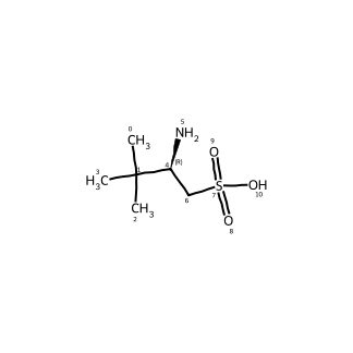 CC(C)(C)[C@@H](N)CS(=O)(=O)O